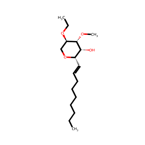 CCCCCCC/C=C/[C@@H]1OC[C@@H](OCC)[C@H](OC)[C@@H]1O